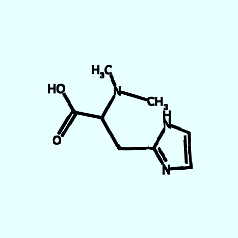 CN(C)C(Cc1ncc[nH]1)C(=O)O